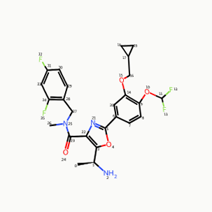 C[C@H](N)c1oc(-c2ccc(OC(F)F)c(OCC3CC3)c2)nc1C(=O)N(C)Cc1ccc(F)cc1F